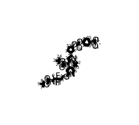 C[C@H](NC(=O)OC(C)(C)C)C(F)(F)CCOc1cc(N(C(=O)OC(C)(C)C)c2cc([C@H]3CC[C@@H](OC(=O)Oc4ccc([N+](=O)[O-])cc4)C3)nn2C(C)(C)C)ccn1